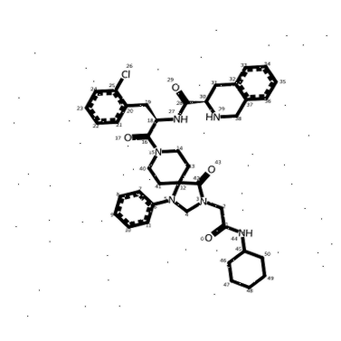 O=C(CN1CN(c2ccccc2)C2(CCN(C(=O)[C@@H](Cc3ccccc3Cl)NC(=O)[C@H]3Cc4ccccc4CN3)CC2)C1=O)NC1CCCCC1